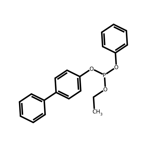 CCOP(Oc1ccccc1)Oc1ccc(-c2ccccc2)cc1